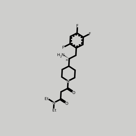 CCN(CC)C(=O)CC(=O)N1CCC([C@H](N)Cc2cc(F)c(F)cc2F)CC1